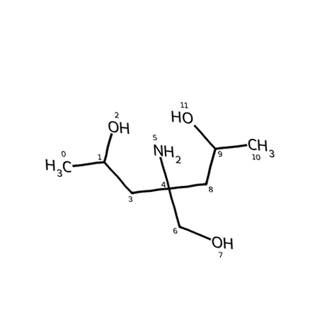 CC(O)CC(N)(CO)CC(C)O